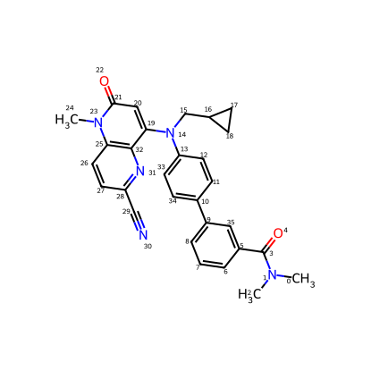 CN(C)C(=O)c1cccc(-c2ccc(N(CC3CC3)c3cc(=O)n(C)c4ccc(C#N)nc34)cc2)c1